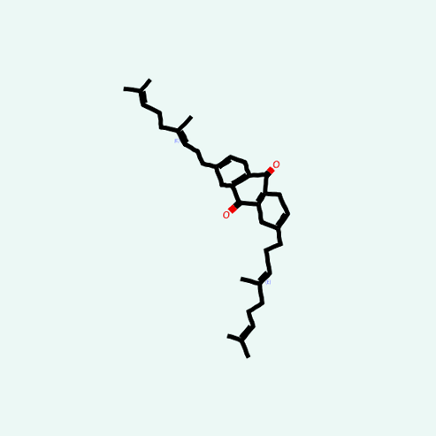 CC(C)=CCC/C(C)=C/CCC1=CCC2=C(C1)C(=O)C1=C(CC=C(CC/C=C(\C)CCC=C(C)C)C1)C2=O